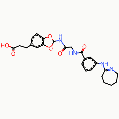 O=C(O)CCc1ccc2c(c1)OC(NC(=O)CNC(=O)c1cccc(NC3=NCCCCC3)c1)O2